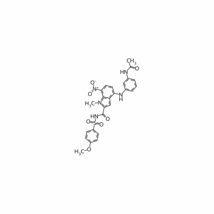 COc1ccc(S(=O)(=O)NC(=O)c2cc3c(Nc4cccc(NC(C)=O)c4)ccc([N+](=O)[O-])c3n2C)cc1